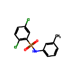 Cc1cccc(NS(=O)(=O)c2cc(Cl)ccc2Cl)c1